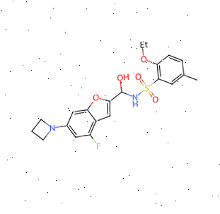 CCOc1ccc(C)cc1S(=O)(=O)NC(O)c1cc2c(F)cc(N3CCC3)cc2o1